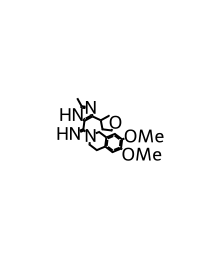 COc1cc2c(cc1OC)CN(C(=N)c1[nH]c(C)nc1C1CCOC1)CC2